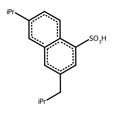 CC(C)Cc1cc(S(=O)(=O)O)c2ccc(C(C)C)cc2c1